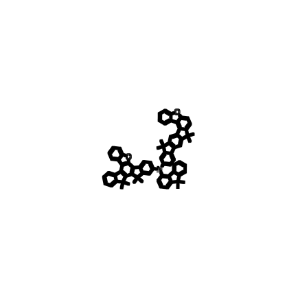 CC1(C)c2cc(N(c3ccc4c(c3)C(C)(C)c3c5c(c6c(oc7ccccc76)c3-4)-c3ccccc3C5(C)C)c3cccc4c3-c3ccccc3C4(C)C)ccc2-c2cc3c(cc21)-c1c(ccc2oc4ccccc4c12)C3(C)C